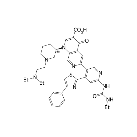 CCNC(=O)Nc1cc(-c2nc(-c3ccccc3)cs2)c(-c2cc3c(=O)c(C(=O)O)cn([C@@H]4CCCN(CCN(CC)CC)C4)c3cn2)cn1